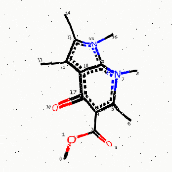 COC(=O)c1c(C)n(C)c2c(c(C)c(C)n2C)c1=O